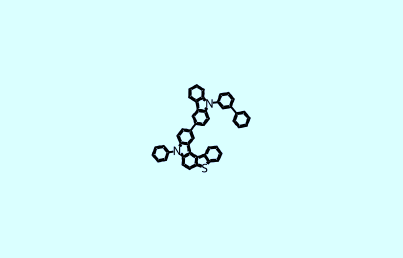 c1ccc(-c2cccc(-n3c4ccccc4c4cc(-c5ccc6c(c5)c5c7c(ccc5n6-c5ccccc5)sc5ccccc57)ccc43)c2)cc1